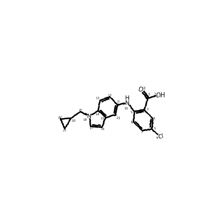 O=C(O)c1cc(Cl)ccc1Nc1ccc2c(ccn2CC2CC2)c1